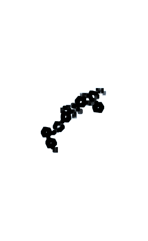 NC(=O)CC(CSc1ccccc1)Nc1ccc(S(=O)(=O)Nc2ncnc3cc(N4CCN(Cc5ccccc5-c5ccc(Cl)cc5)CC4)ccc23)cc1[N+](=O)[O-]